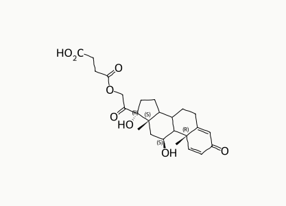 C[C@]12C=CC(=O)C=C1CCC1C2[C@@H](O)C[C@@]2(C)C1CC[C@]2(O)C(=O)COC(=O)CCC(=O)O